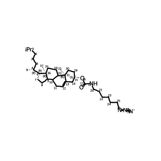 CC(C)CCC[C@@H](C)[C@H]1CCC2C3CC=C4C[C@@H](OC(=O)NCCCCCCN=[N+]=[N-])CC[C@]4(C)C3CC[C@@]21C